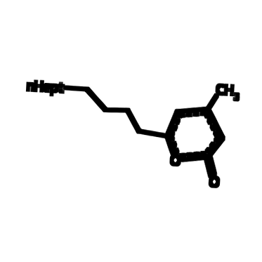 CCCCCCCCCCCc1cc(C)cc(=O)o1